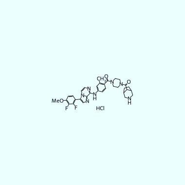 COc1ccc(-c2cnc3c(Nc4ccc(C(=O)N5CCN(C(=O)C6C7CCC6CNC7)CC5)c(C)c4)nccn23)c(F)c1F.Cl